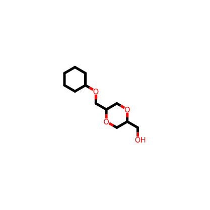 OCC1COC(COC2CCCCC2)CO1